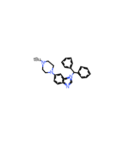 CC(C)(C)N1CCN(c2ccc3ncn(C(c4ccccc4)c4ccccc4)c3c2)CC1